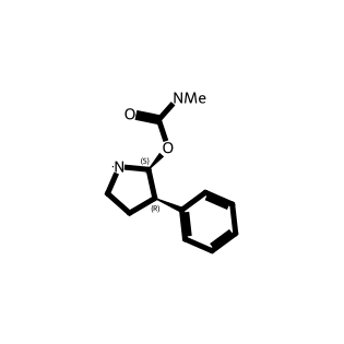 CNC(=O)O[C@@H]1[N]CC[C@@H]1c1ccccc1